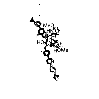 COC(=O)N[C@H](C(=O)N[C@@H](Cc1ccc(-c2ccc(N3CCN(C4COC4)CC3)nc2)cc1)[C@@H](O)CN(Cc1c(F)cc(-c2ccn(C3CC3)n2)cc1F)NC(=O)[C@@H](NC(=O)OC)C(C)(C)C(F)(F)F)C(C)(C)C(F)(F)F